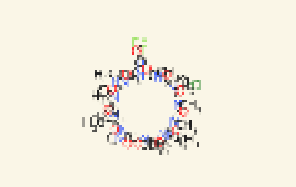 CC[C@H](C)[C@@H]1NC(=O)[C@H](C)N(C)C(=O)C[C@@H](C(=O)N2CCCCC2)NC(=O)[C@H](CC(C)C)N(C)C(=O)[C@H](Cc2ccccc2)N(C)C(=O)[C@H](CC(C)C)NC(=O)[C@H](Cc2cccc(OC(F)(F)F)c2)NC(=O)CN(C)C(=O)[C@H](Cc2ccc(Cl)cc2)N(C)C(=O)CN(C)C(=O)CN(C)C1=O